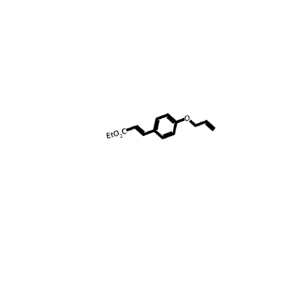 C=CCOc1ccc(/C=C/C(=O)OCC)cc1